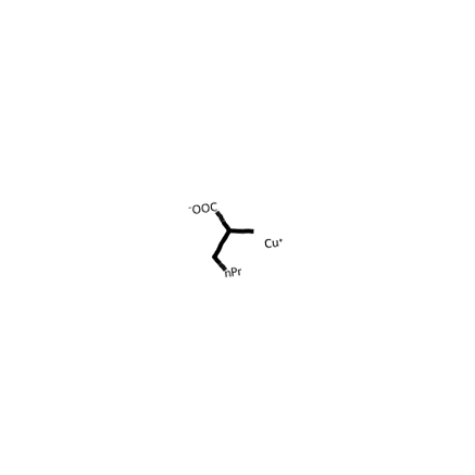 CCCCC(C)C(=O)[O-].[Cu+]